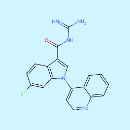 N=C(N)NC(=O)c1cn(-c2ccnc3ccccc23)c2cc(F)ccc12